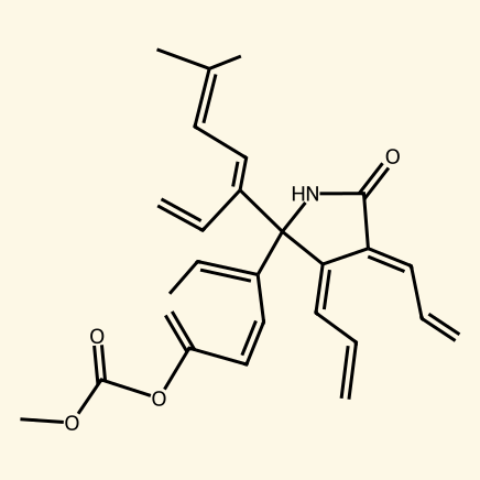 C=C/C=C1/C(=O)NC(/C(C=C)=C/C=C(C)C)(C(/C=C\C(=C)OC(=O)OC)=C/C)/C1=C/C=C